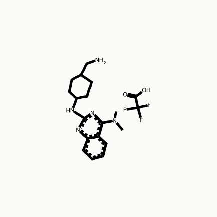 CN(C)c1nc(NC2CCC(CN)CC2)nc2ccccc12.O=C(O)C(F)(F)F